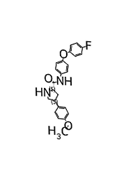 COc1ccc([C@H]2CN[C@H](C(=O)Nc3ccc(Oc4ccc(F)cc4)cc3)C2)cc1